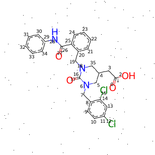 O=C(O)CC1CN(Cc2ccc(Cl)cc2Cl)C(=O)N(Cc2ccccc2C(=O)Nc2ccccc2)C1